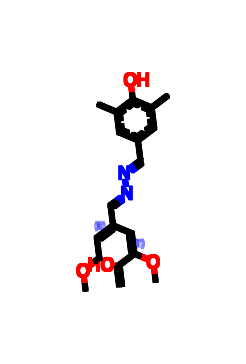 C=C(O)/C(=C\C(C=NN=Cc1cc(C)c(O)c(C)c1)=C/COC)OC